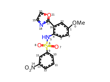 COc1ccc(NS(=O)(=O)c2cccc([N+](=O)[O-])c2)c(-c2ncco2)c1